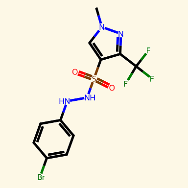 Cn1cc(S(=O)(=O)NNc2ccc(Br)cc2)c(C(F)(F)F)n1